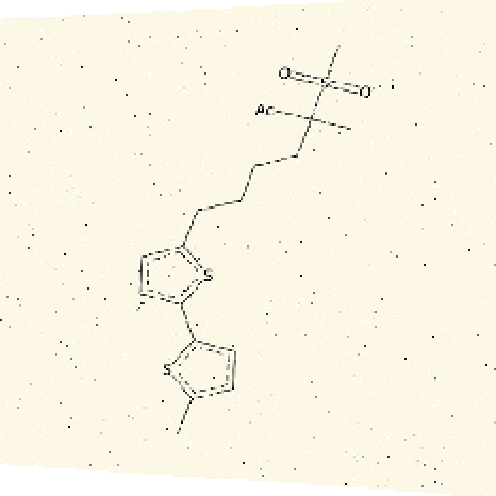 CC(=O)C(C)(CCCCc1ccc(-c2ccc(C)s2)s1)S(C)(=O)=O